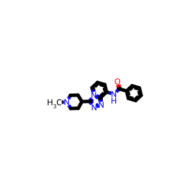 CN1CCC(c2nnc3c(NC(=O)c4ccccc4)cccn23)CC1